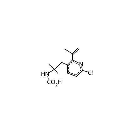 C=C(C)c1nc(Cl)ccc1CC(C)(C)NC(=O)O